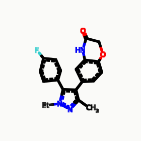 CCn1nc(C)c(-c2ccc3c(c2)NC(=O)CO3)c1-c1ccc(F)cc1